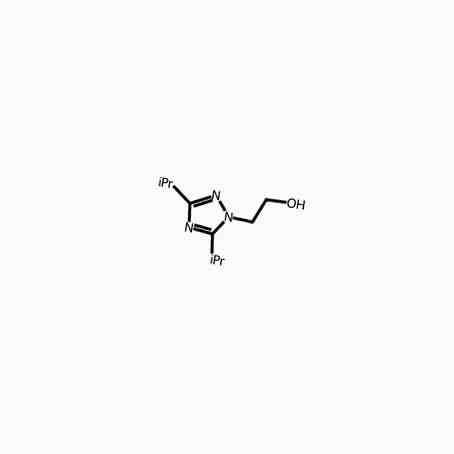 CC(C)c1nc(C(C)C)n(CCO)n1